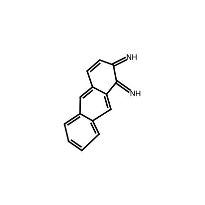 N=C1C=Cc2cc3ccccc3cc2C1=N